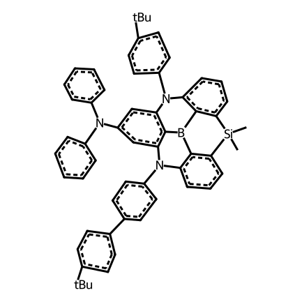 CC(C)(C)c1ccc(-c2ccc(N3c4cc(N(c5ccccc5)c5ccccc5)cc5c4B4c6c3cccc6[Si](C)(C)c3cccc(c34)N5c3ccc(C(C)(C)C)cc3)cc2)cc1